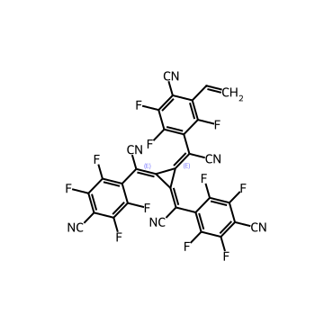 C=Cc1c(F)c(/C(C#N)=C2/C(=C(C#N)c3c(F)c(F)c(C#N)c(F)c3F)/C2=C(/C#N)c2c(F)c(F)c(C#N)c(F)c2F)c(F)c(F)c1C#N